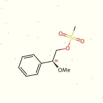 CO[C@H](COS(C)(=O)=O)c1ccccc1